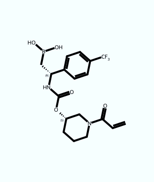 C=CC(=O)N1CCC[C@H](OC(=O)N[C@H](CB(O)O)c2ccc(C(F)(F)F)cc2)C1